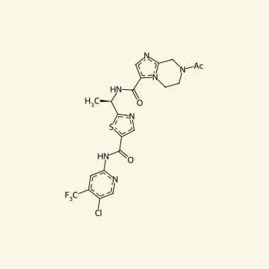 CC(=O)N1CCn2c(C(=O)N[C@H](C)c3ncc(C(=O)Nc4cc(C(F)(F)F)c(Cl)cn4)s3)cnc2C1